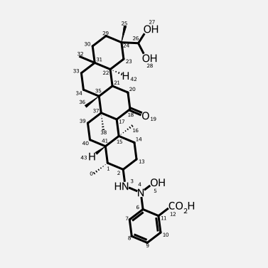 C[C@H]1C(NN(O)c2ccccc2C(=O)O)CC[C@]2(C)C3C(=O)CC4[C@@H]5C[C@@](C)(C(O)O)CCC5(C)CC[C@@]4(C)[C@]3(C)CC[C@@H]12